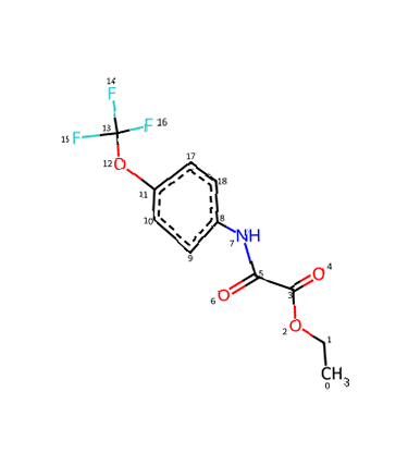 CCOC(=O)C(=O)Nc1ccc(OC(F)(F)F)cc1